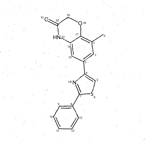 Cc1cc(-c2csc(-c3ccccc3)n2)cc2c1OCC(=O)N2